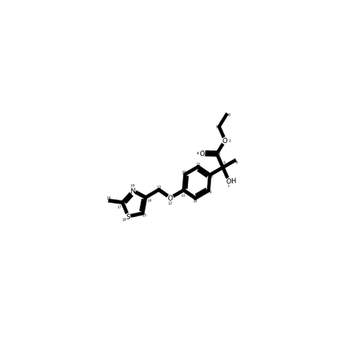 CCOC(=O)C(C)(O)c1ccc(OCc2csc(C)n2)cc1